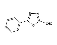 O=Cc1nnc(-c2ccncc2)o1